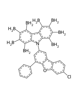 Bc1c(B)c(B)c2c(c1B)c1c(B)c(B)c(B)c(B)c1n2-c1cc(-c2ccccc2)c2oc3cc(Cl)ccc3c2c1